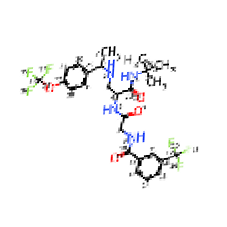 CC(NCC(NC(=O)CNC(=O)c1cccc(C(F)(F)F)c1)C(=O)NC(C)(C)C)c1ccc(OC(F)(F)F)cc1